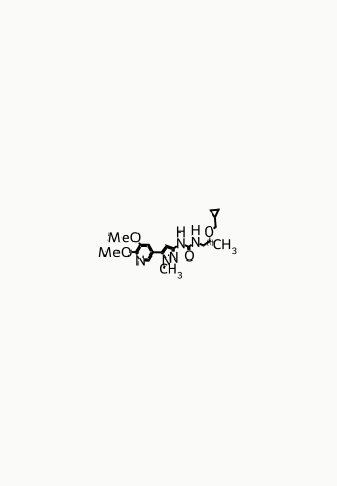 COc1cc(-c2cc(NC(=O)NC[C@@H](C)OCC3CC3)nn2C)cnc1OC